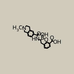 CN1CCc2cc(C(=O)NC3Cc4cccc(C(=O)O)c4OB3O)ccc2C1